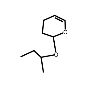 CCC(C)OC1CCC=CO1